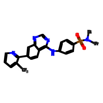 CCN(C(C)C)S(=O)(=O)c1ccc(Nc2ncnc3cc(-c4ncccc4C(F)(F)F)ccc23)cc1